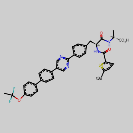 C[C@@H](NC(=O)[C@H](Cc1ccc(-c2ncc(-c3ccc(-c4ccc(OC(C)(F)F)cc4)cc3)cn2)cc1)NC(=O)c1ccc(C(C)(C)C)s1)C(=O)O